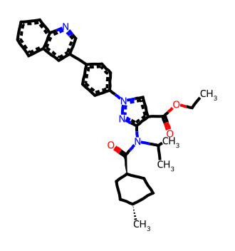 CCOC(=O)c1cn(-c2ccc(-c3cnc4ccccc4c3)cc2)nc1N(C(=O)[C@H]1CC[C@H](C)CC1)C(C)C